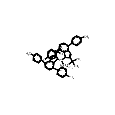 Cc1ccc(-c2ccc(-c3ccc(C)cc3)c3c2C=C(C(C)(C)C)[CH]3[Zr]([CH]2C(C(C)(C)C)=Cc3c(-c4ccc(C)cc4)ccc(-c4ccc(C)cc4)c32)[SiH](C)C)cc1